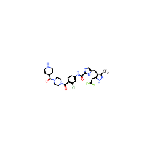 O=C(Nc1ccc(C(=O)N2CCN(C(=O)C3CCNCC3)CC2)c(Cl)c1)c1ncc(Cc2c(C(F)(F)F)n[nH]c2CC(F)F)[nH]1